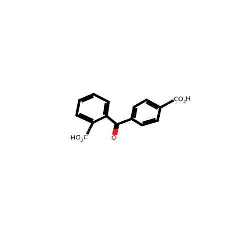 O=C(O)c1ccc(C(=O)c2ccccc2C(=O)O)cc1